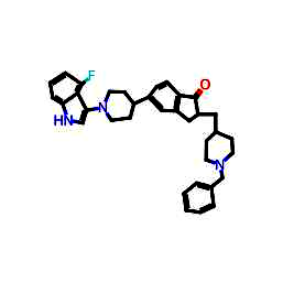 O=C1c2ccc(C3CCN(c4c[nH]c5cccc(F)c45)CC3)cc2CC1CC1CCN(Cc2ccccc2)CC1